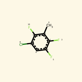 Cc1c(F)c(F)cc(Cl)c1F